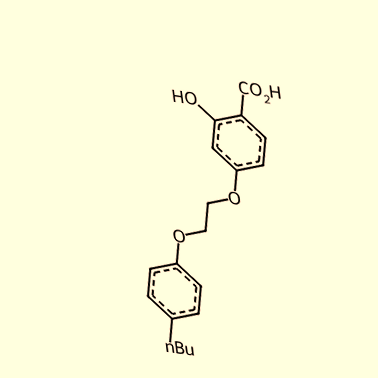 CCCCc1ccc(OCCOc2ccc(C(=O)O)c(O)c2)cc1